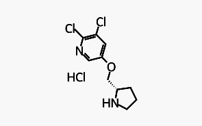 Cl.Clc1cc(OC[C@@H]2CCCN2)cnc1Cl